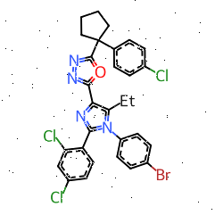 CCc1c(-c2nnc(C3(c4ccc(Cl)cc4)CCCC3)o2)nc(-c2ccc(Cl)cc2Cl)n1-c1ccc(Br)cc1